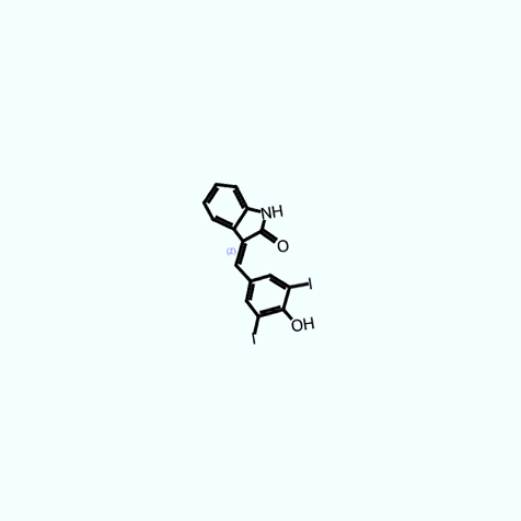 O=C1Nc2ccccc2/C1=C/c1cc(I)c(O)c(I)c1